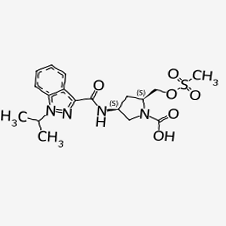 CC(C)n1nc(C(=O)N[C@H]2C[C@@H](COS(C)(=O)=O)N(C(=O)O)C2)c2ccccc21